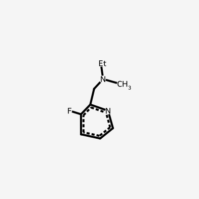 CCN(C)Cc1ncccc1F